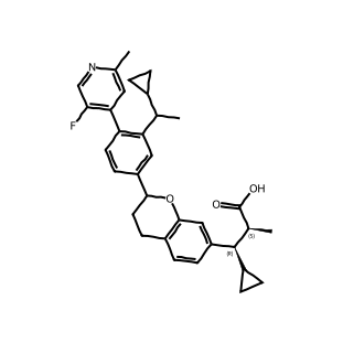 Cc1cc(-c2ccc(C3CCc4ccc([C@H](C5CC5)[C@H](C)C(=O)O)cc4O3)cc2C(C)C2CC2)c(F)cn1